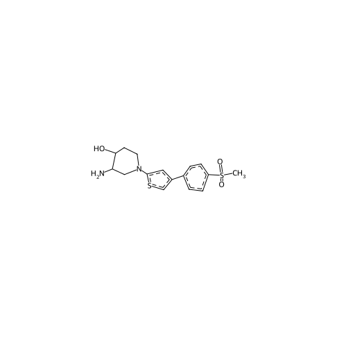 CS(=O)(=O)c1ccc(-c2csc(N3CCC(O)C(N)C3)c2)cc1